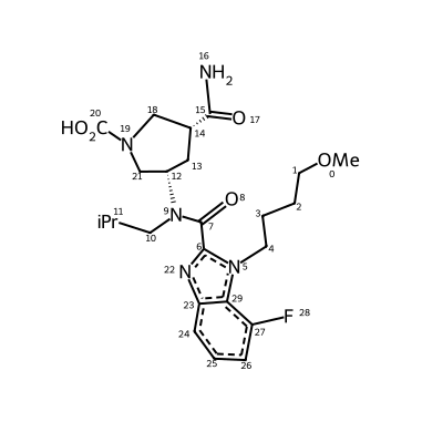 COCCCCn1c(C(=O)N(CC(C)C)[C@H]2C[C@@H](C(N)=O)CN(C(=O)O)C2)nc2cccc(F)c21